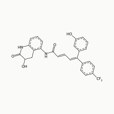 O=C(C=CC=C(c1ccc(C(F)(F)F)cc1)c1cccc(O)c1)Nc1cccc2c1CC(O)C(=O)N2